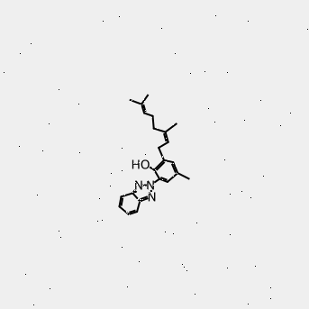 CC(C)=CCCC(C)=CCc1cc(C)cc(-n2nc3ccccc3n2)c1O